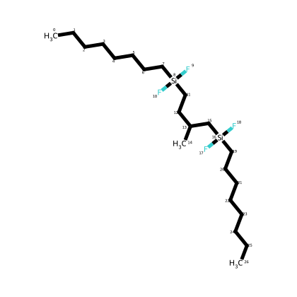 CCCCCCCC[Si](F)(F)CCC(C)C[Si](F)(F)CCCCCCCC